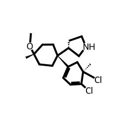 CO[C@]1(C)CC[C@](C2=CC=C(Cl)[C@](C)(Cl)C2)([C@@H]2CCNC2)CC1